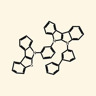 c1ccc(-c2cccc(-n3c4ccccc4c4c5ccccc5n(-c5cccc(-n6c7ccccc7c7c8ccccc8sc76)c5)c43)c2)cc1